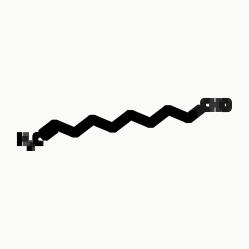 C=CCCCCCCCC=O